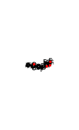 Fc1cc(OC(F)(F)c2ccc(C3OCC(C4CCCC4)CO3)cc2)cc(F)c1OC(F)(F)F